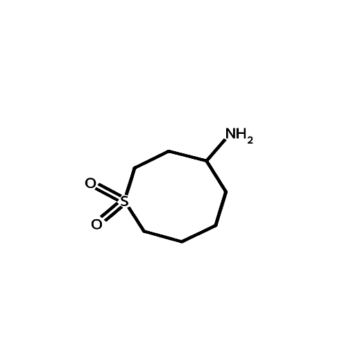 NC1CCCCS(=O)(=O)CC1